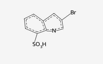 O=S(=O)(O)c1cccc2cc(Br)cnc12